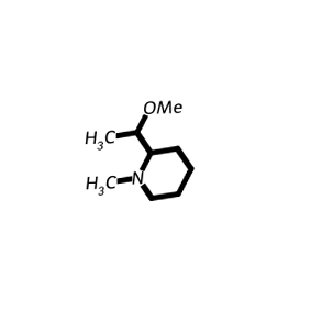 COC(C)C1CCCCN1C